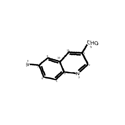 O=Cc1cnc2ccc(Br)cc2c1